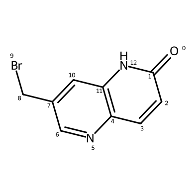 O=c1ccc2ncc(CBr)cc2[nH]1